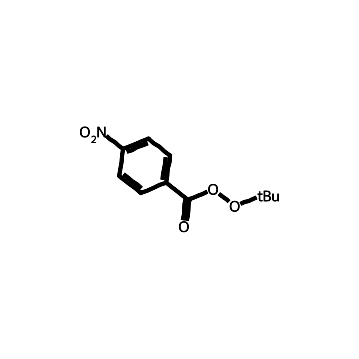 CC(C)(C)OOC(=O)c1ccc([N+](=O)[O-])cc1